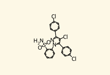 NS(=O)(=O)c1ccccc1-n1nc(-c2ccc(Cl)cc2)c(Cl)c1-c1ccc(Cl)cc1